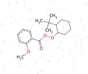 COc1ccccc1C(=O)OO[C]1CCCCC1C(C)(C)C